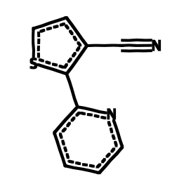 N#Cc1ccsc1-c1ccccn1